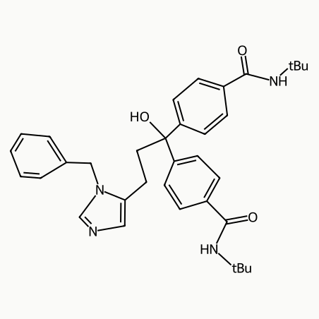 CC(C)(C)NC(=O)c1ccc(C(O)(CCc2cncn2Cc2ccccc2)c2ccc(C(=O)NC(C)(C)C)cc2)cc1